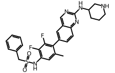 Cc1cc(NS(=O)(=O)Cc2ccccc2)c(F)c(F)c1-c1ccc2nc(NC3CCCNC3)ncc2c1